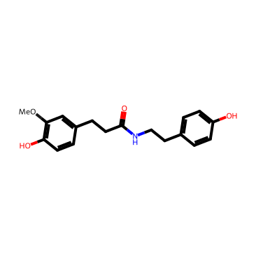 COc1cc(CCC(=O)NCCc2ccc(O)cc2)ccc1O